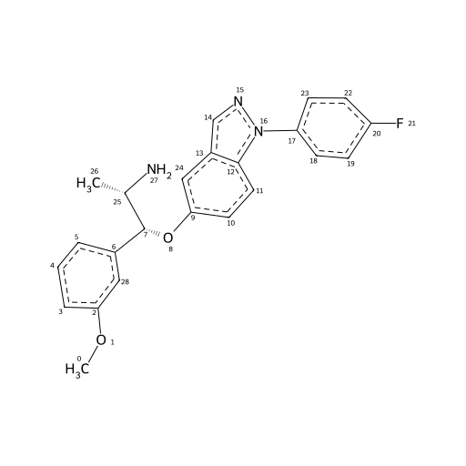 COc1cccc([C@@H](Oc2ccc3c(cnn3-c3ccc(F)cc3)c2)[C@H](C)N)c1